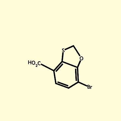 O=C(O)c1ccc(Br)c2c1SCO2